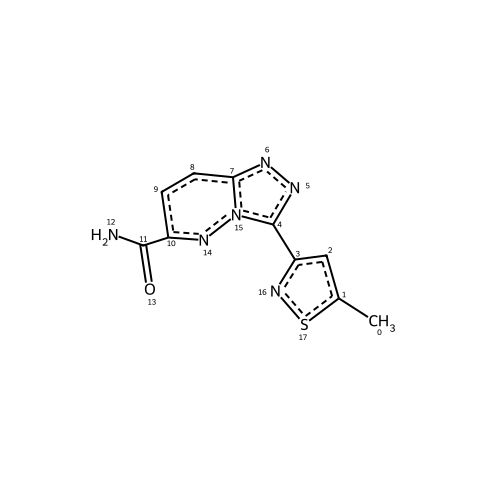 Cc1cc(-c2nnc3ccc(C(N)=O)nn23)ns1